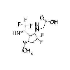 C=N[C@@H]1CC(F)(F)C(NCC(=O)O)=C1C(=N)C(F)(F)F